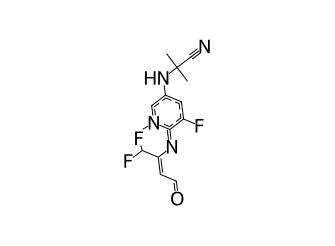 Cn1cc(NC(C)(C)C#N)cc(F)/c1=N/C(=C\C=O)C(F)F